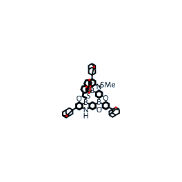 CSN1c2cc3c(cc2B2c4sc5ccccc5c4Oc4cc(C56CC7CC(CC(C7)C5)C6)cc1c42)B1c2cc4c(cc2Oc2cc(C56CC7CC(CC(C7)C5)C6)cc(c21)O3)Nc1cc(C23CC5CC(CC(C5)C2)C3)cc2c1B4c1sc3ccccc3c1O2